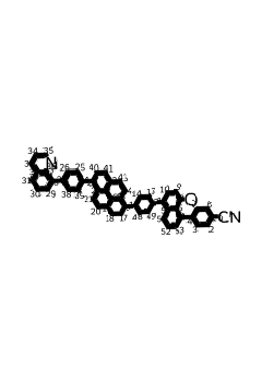 N#Cc1ccc2c(c1)Oc1ccc(-c3ccc(-c4ccc5ccc6c(-c7ccc(-c8cccc9cccnc89)cc7)ccc7ccc4c5c76)cc3)c3cccc-2c13